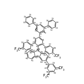 FC(F)(F)c1ccc(-c2cc(-c3nc(-c4ccccc4)cc(-c4ccccc4)n3)cc(-c3ccc(C(F)(F)F)cc3)c2-n2c3ccccc3c3cc(-c4cc(C(F)(F)F)cc(C(F)(F)F)c4)ccc32)cc1